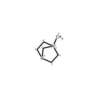 C[N+]12CCN(CC1)C2